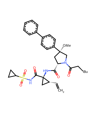 C=C[C@@H]1C[C@]1(NC(=O)[C@@H]1C[C@@](OC)(c2ccc(-c3ccccc3)cc2)CN1C(=O)CC(C)CC)C(=O)NS(=O)(=O)C1CC1